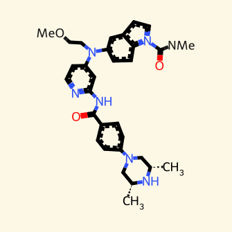 CNC(=O)n1ccc2cc(N(CCOC)c3ccnc(NC(=O)c4ccc(N5C[C@@H](C)N[C@@H](C)C5)cc4)c3)ccc21